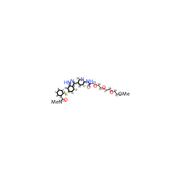 CNC(=O)c1ccccc1Sc1ccc2c(-c3ccc(NC(=O)COCCOCCOCCOC)nc3)n[nH]c2c1